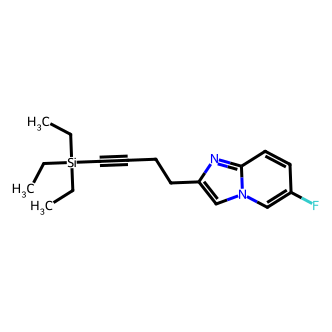 CC[Si](C#CCCc1cn2cc(F)ccc2n1)(CC)CC